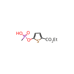 CCOC(=O)c1ccc(OP(C)(=O)O)s1